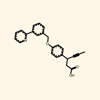 CC#CC(CC(=O)O)c1ccc(OCc2cccc(-c3ccccn3)c2)cc1